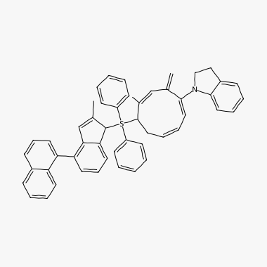 C=C1/C=C(/C)C(S(c2ccccc2)(c2ccccc2)C2C(C)=Cc3c(-c4cccc5ccccc45)cccc32)C/C=C\C=C/1N1CCc2ccccc21